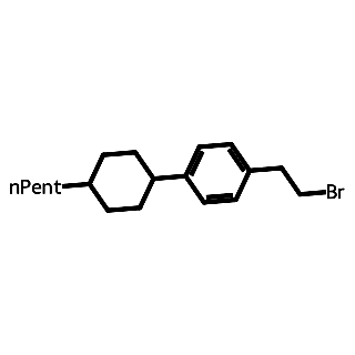 CCCCCC1CCC(c2ccc(CCBr)cc2)CC1